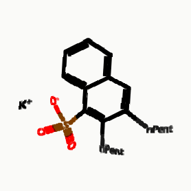 CCCCCc1cc2ccccc2c(S(=O)(=O)[O-])c1CCCCC.[K+]